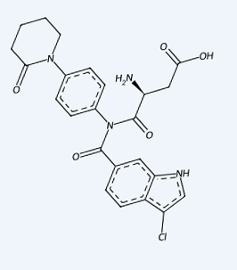 N[C@@H](CC(=O)O)C(=O)N(C(=O)c1ccc2c(Cl)c[nH]c2c1)c1ccc(N2CCCCC2=O)cc1